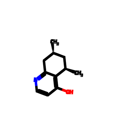 C[C@H]1Cc2nccc(O)c2[C@H](C)C1